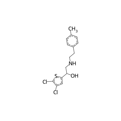 Cc1ccc(CCNCC(O)c2cc(Cl)c(Cl)s2)cc1